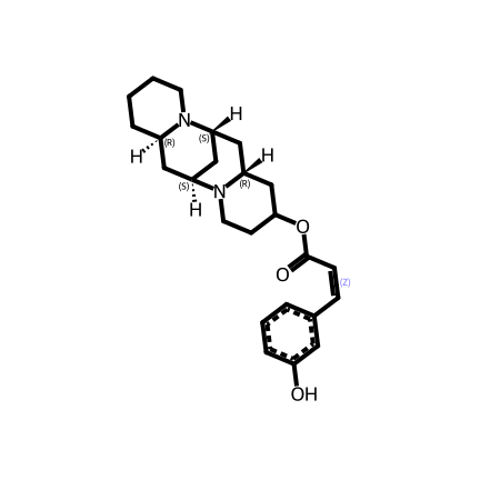 O=C(/C=C\c1cccc(O)c1)OC1CCN2[C@@H]3C[C@@H](C[C@@H]2C1)N1CCCC[C@@H]1C3